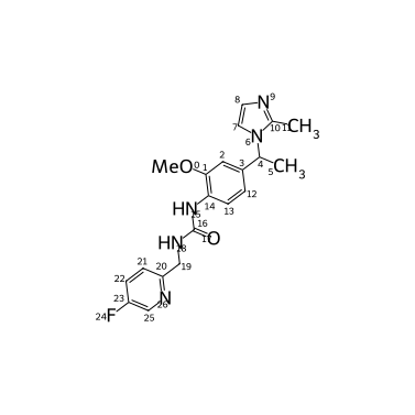 COc1cc(C(C)n2ccnc2C)ccc1NC(=O)NCc1ccc(F)cn1